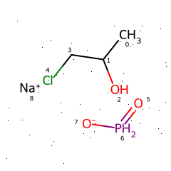 CC(O)CCl.O=[PH2][O-].[Na+]